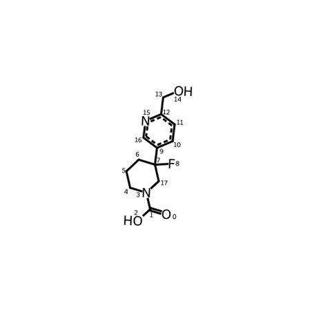 O=C(O)N1CCCC(F)(c2ccc(CO)nc2)C1